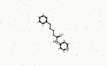 O=C(CCCCc1ccccc1)Nc1ccncc1